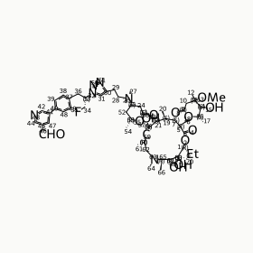 CC[C@H]1OC(=O)[C@H](C)[C@@H](O[C@H]2C[C@@](C)(OC)[C@@H](O)[C@H](C)O2)[C@H](C)[C@@H](O[C@H]2C[C@@H](N(C)CCc3cn([C@H](CF)Cc4ccc(-c5cncc(C=O)c5)cc4)nn3)C[C@@H](C)O2)[C@](C)(O)C[C@@H](C)CN(C)[C@H](C)[C@@H](O)[C@]1(C)O